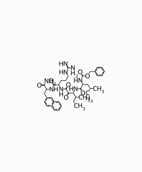 CCC(C)C(NC(=O)C(CC(C)C)NC(=O)OCc1ccccc1)C(=O)C(=O)NC(CCCNC(=N)N)C(=O)NC(Cc1ccc2ccccc2c1)C(N)=O